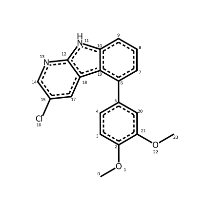 COc1ccc(-c2cccc3[nH]c4ncc(Cl)cc4c23)cc1OC